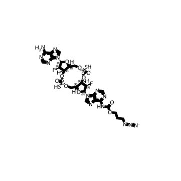 [N-]=[N+]=NCCCOC(=O)Nc1ncnc2c1ncn2[C@@H]1O[C@@H]2CO[P@@](=O)(S)O[C@H]3[C@@H](F)[C@H](n4cnc5c(N)ncnc54)O[C@@H]3CO[P@@](=O)(S)O[C@H]2[C@H]1F